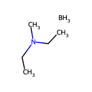 B.CCN(C)CC